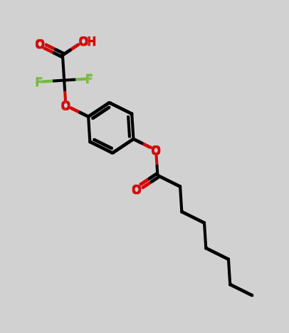 CCCCCCCC(=O)Oc1ccc(OC(F)(F)C(=O)O)cc1